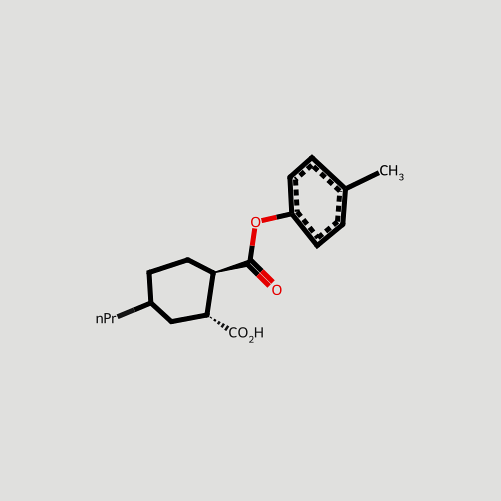 CCCC1CC[C@@H](C(=O)Oc2ccc(C)cc2)[C@H](C(=O)O)C1